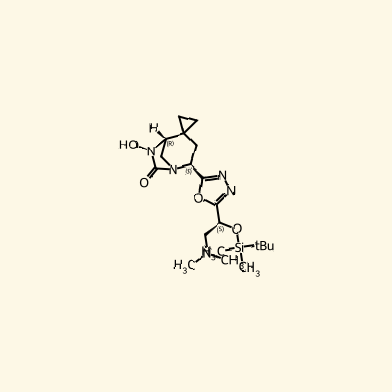 CN(C)C[C@H](O[Si](C)(C)C(C)(C)C)c1nnc([C@@H]2CC3(CC3)[C@@H]3CN2C(=O)N3O)o1